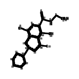 O=C(O)CNC(=O)c1nc(Cl)c2cc(-c3ccccc3)cc(I)c2c1O